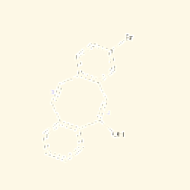 O/C1=C/c2cc(Br)ccc2/C=C\c2ccccc21